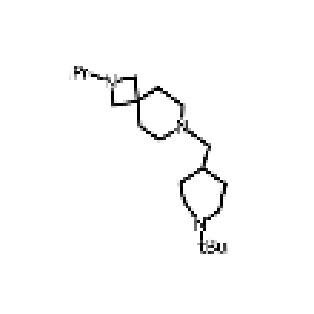 CC(C)N1CC2(CCN(CC3CCN(C(C)(C)C)CC3)CC2)C1